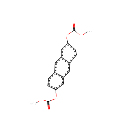 CCCCOC(=O)Oc1ccc2cc3cc(OC(=O)OCCCC)ccc3cc2c1